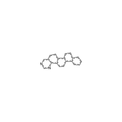 c1ccc2c(c1)ccc1c2ccc2c1ccc1cncnc12